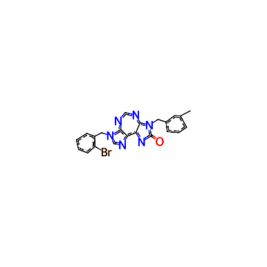 Cc1cccc(Cn2c3ncnc4c(ncn4Cc4ccccc4Br)c-3nc2=O)c1